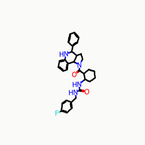 O=C(NCc1ccc(F)cc1)NC1CCCCC1C(=O)N1CCC2C(c3ccccc3)Nc3ccccc3C21